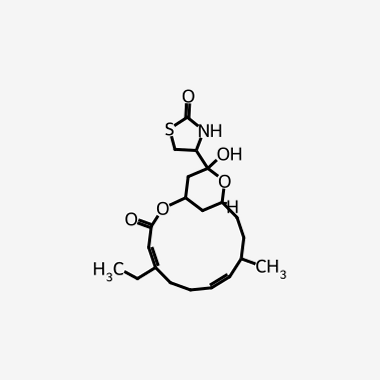 CC/C1=C/C(=O)OC2C[C@@H](CCC(C)/C=C\CC1)OC(O)(C1CSC(=O)N1)C2